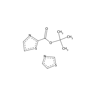 CC(C)(C)OC(=O)c1nccs1.c1cscn1